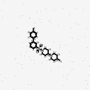 Cc1ccc(-c2cccc(S(=O)(=O)N3CCC(N4CCC(C)CC4)CC3)c2)cc1